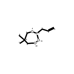 C=CCP1OCC(C)(C)COO1